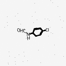 O=CNC1C=CC(Cl)=CC1